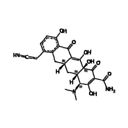 CN(C)[C@@H]1C(O)=C(C(N)=O)C(=O)[C@@]2(O)C(O)=C3C(=O)c4c(O)ccc(C=C=N)c4C[C@H]3C[C@@H]12